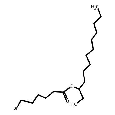 CCCCCCCCCCC(CC)OC(=O)CCCCCBr